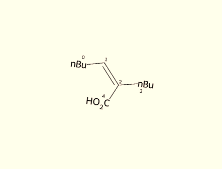 CCCC/C=C(/CCCC)C(=O)O